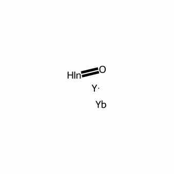 [O]=[InH].[Y].[Yb]